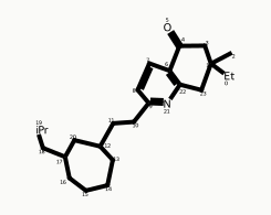 CCC1(C)CC(=O)c2ccc(CCC3CCCCC(CC(C)C)C3)nc2C1